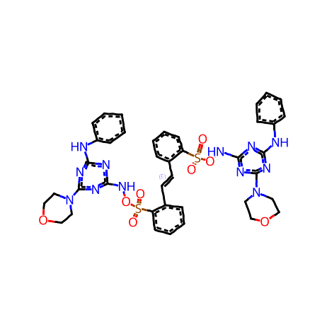 O=S(=O)(ONc1nc(Nc2ccccc2)nc(N2CCOCC2)n1)c1ccccc1/C=C/c1ccccc1S(=O)(=O)ONc1nc(Nc2ccccc2)nc(N2CCOCC2)n1